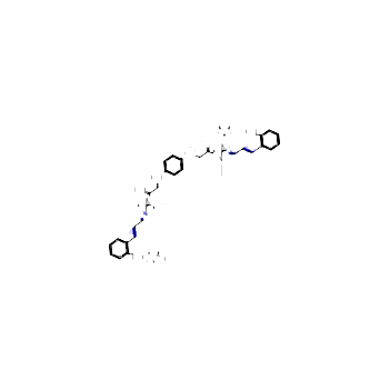 COc1ccccc1/C=C/C=N/NC(=O)COc1ccc(OCC(=O)N/N=C/C=C/c2ccccc2OC)cc1